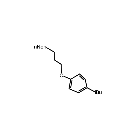 CCCCCCCCCCCCOc1ccc(C(C)CC)cc1